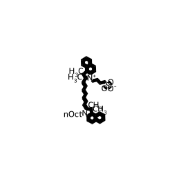 CCCCCCCCN1/C(=C/C=C/C=C/C=C/C2=[N+](CCCCS(=O)(=O)[O-])c3ccc4ccccc4c3C2(C)C)C(C)(C)c2c1ccc1ccccc21